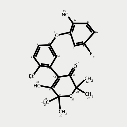 CCc1ccc(Oc2cc(F)ccc2C#N)cc1C1=C(O)C(C)(C)OC(C)(C)C1=O